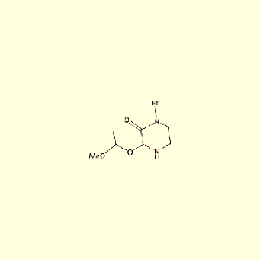 CCN1CCNC(OC(C)OC)C1=O